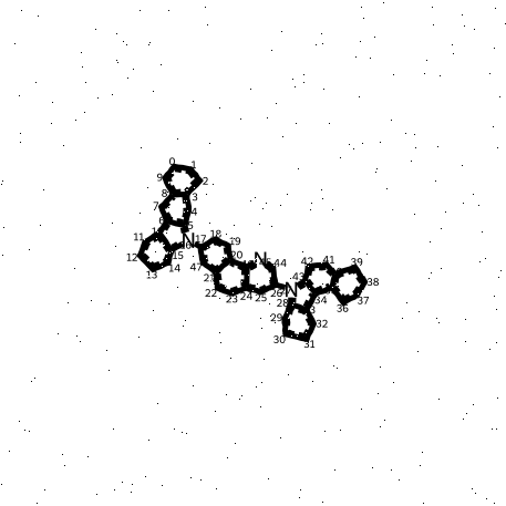 c1ccc2cc3c(cc2c1)c1ccccc1n3-c1ccc2c(ccc3cc(-n4c5ccccc5c5c6ccccc6ccc54)cnc32)c1